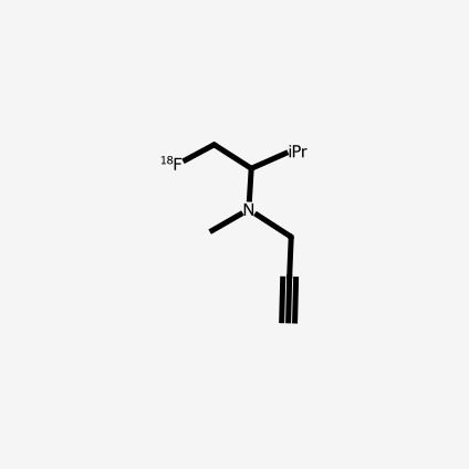 C#CCN(C)C(C[18F])C(C)C